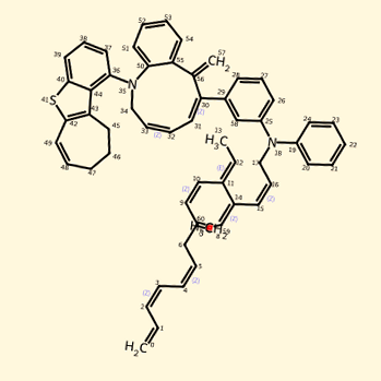 C=C/C=C\C=C/CC(=C)\C=C/C(=C\C)C(/C=C\CN(c1ccccc1)c1cccc(/C2=C/C=C\CN(c3cccc4sc5c(c34)CCCC=C5)c3ccccc3C2=C)c1)=C\C